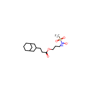 O=C(CCC1CC2CCCC(C2)C1)OCCC[NH+]([O-])S(=O)(=O)C(F)(F)F